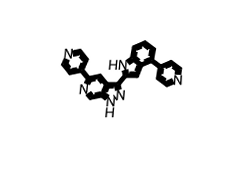 c1cc(-c2ccncc2)c2cc(-c3n[nH]c4cnc(-c5ccncc5)cc34)[nH]c2c1